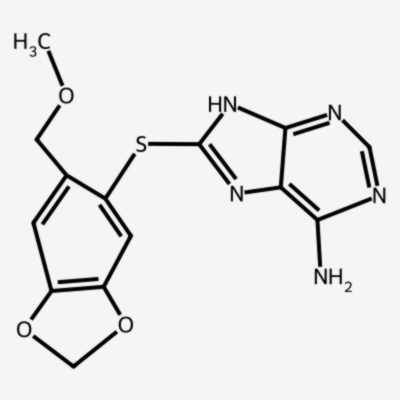 COCc1cc2c(cc1Sc1nc3c(N)ncnc3[nH]1)OCO2